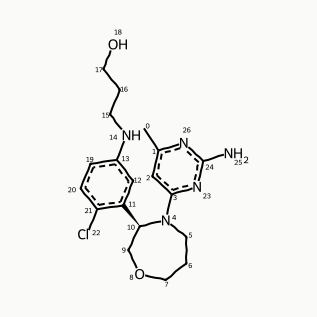 Cc1cc(N2CCCOC[C@H]2c2cc(NCCCO)ccc2Cl)nc(N)n1